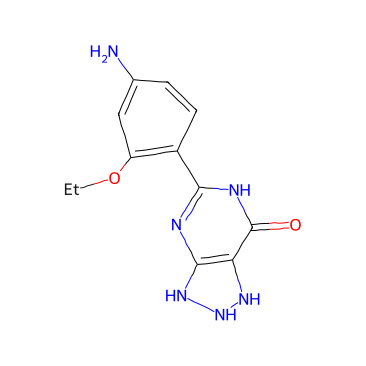 CCOc1cc(N)ccc1-c1nc2c(c(=O)[nH]1)NNN2